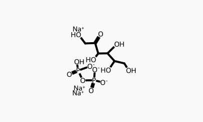 O=C(CO)C(O)C(O)C(O)CO.O=P([O-])([O-])OP(=O)([O-])O.[Na+].[Na+].[Na+]